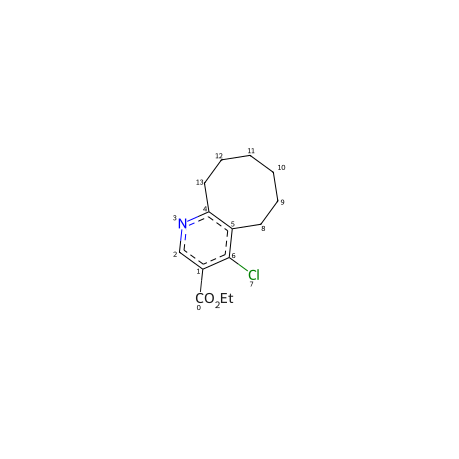 CCOC(=O)c1cnc2c(c1Cl)CCCCCC2